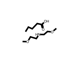 CCCCC(=O)O.COCCNCCOC